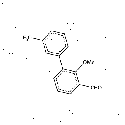 COc1c(C=O)cccc1-c1cccc(C(F)(F)F)c1